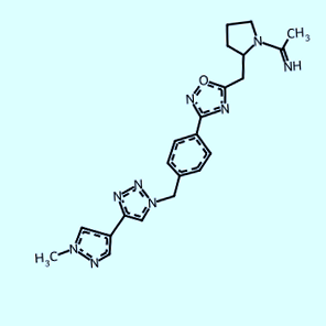 CC(=N)N1CCCC1Cc1nc(-c2ccc(Cn3cc(-c4cnn(C)c4)nn3)cc2)no1